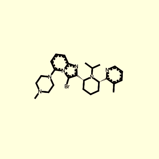 Cc1cccnc1[C@@H]1CCC[C@H](c2nc3cccc(N4CCN(C)CC4)n3c2Br)N1C(C)C